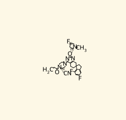 C=CC(=O)N1CCN(c2nc(OC[C@@H]3C[C@@H](F)CN3C)nc3c2CCC2(CCc4cc(F)cc(F)c42)C3)C[C@@H]1CC#N